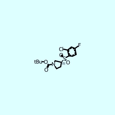 CC(C)(C)OC(=O)N1CC[C@H](S(=O)(=O)c2ccc(F)cc2Cl)C1